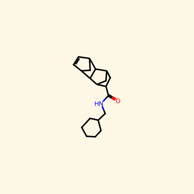 O=C(NCC1CCCCC1)C1CC2CC1C1C3C=CC(C3)C21